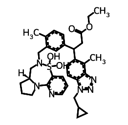 CCOC(=O)CC(c1ccc(C)c(CN2C[C@H]3CCCN3c3ncccc3S2(O)O)c1)c1ccc2c(nnn2CC2CC2)c1C